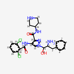 NC(Cc1ccccc1)C(O)n1cc(NC(=O)c2c(Cl)cccc2Cl)c(C(=O)NC2CCNCC2)n1